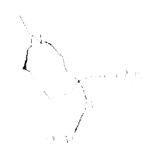 CN1CCC(NP)(C(=O)O)C1